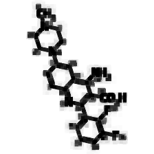 CN1CCN(c2ccc3nc(-c4cccc(F)c4F)c(C(=O)O)c(N)c3c2)CC1